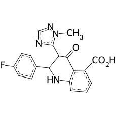 Cn1ncnc1C1C(=O)c2c(cccc2C(=O)O)NC1c1ccc(F)cc1